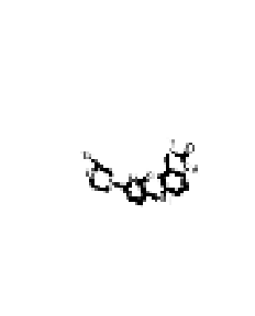 CCC1CN(c2ccc(Nc3ccc4c(c3)CNC(=O)N4)c(C)n2)CCO1